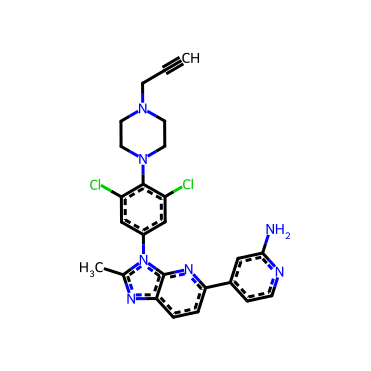 C#CCN1CCN(c2c(Cl)cc(-n3c(C)nc4ccc(-c5ccnc(N)c5)nc43)cc2Cl)CC1